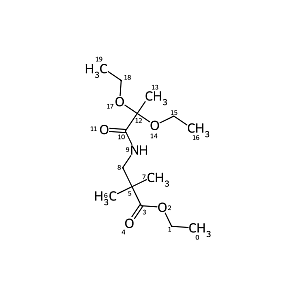 CCOC(=O)C(C)(C)CNC(=O)C(C)(OCC)OCC